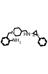 Nc1ccccc1CN1CCC(CN[C@@H]2C[C@H]2c2ccccc2)CC1